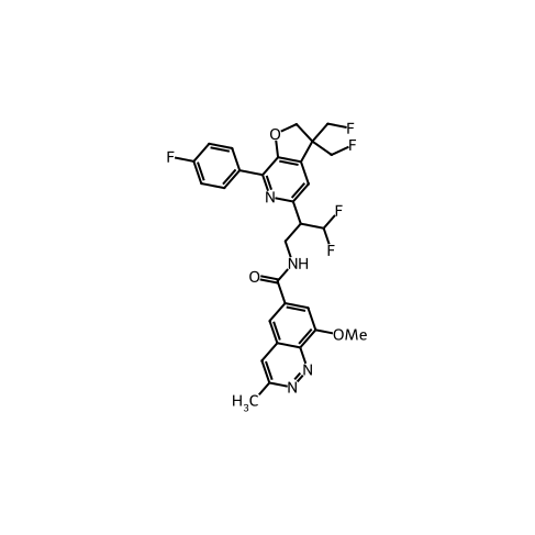 COc1cc(C(=O)NCC(c2cc3c(c(-c4ccc(F)cc4)n2)OCC3(CF)CF)C(F)F)cc2cc(C)nnc12